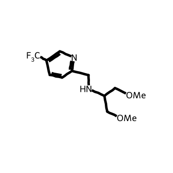 COCC(COC)NCc1ccc(C(F)(F)F)cn1